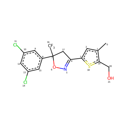 Cc1cc(C2=NOC(c3cc(Cl)cc(Cl)c3)(C(F)(F)F)C2)sc1CO